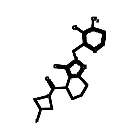 O=C(C1CCCc2nn(Cc3nccc(C(F)(F)F)c3Cl)c(=O)n21)N1CC(F)C1